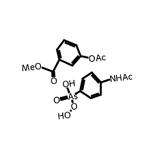 CC(=O)Nc1ccc([As](=O)(O)OO)cc1.COC(=O)c1cccc(OC(C)=O)c1